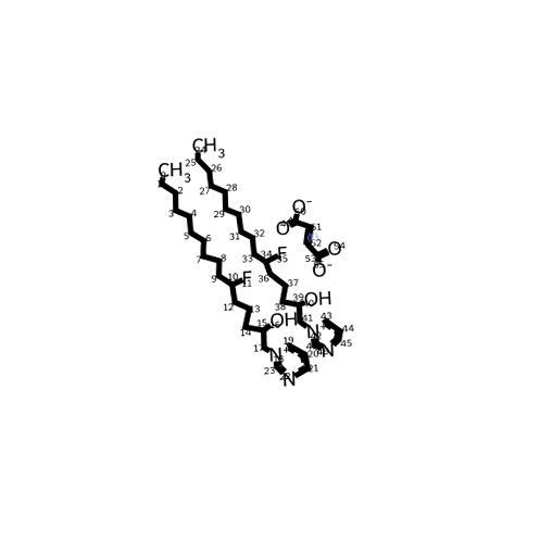 CCCCCCCCCCC(F)CCCC(O)C[n+]1cccnc1.CCCCCCCCCCC(F)CCCC(O)C[n+]1cccnc1.O=C([O-])/C=C/C(=O)[O-]